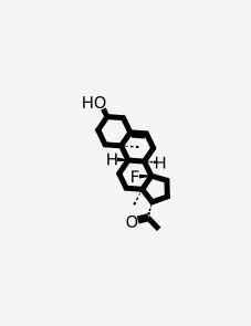 CC(=O)[C@H]1CC[C@@]2(F)[C@@H]3CC=C4CC(O)CC[C@]4(C)[C@H]3CC[C@]12C